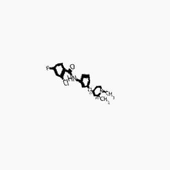 C[C@@H]1C[C@@H](Oc2cccc(NC(=O)c3ccc(F)cc3Cl)c2)CCN1C